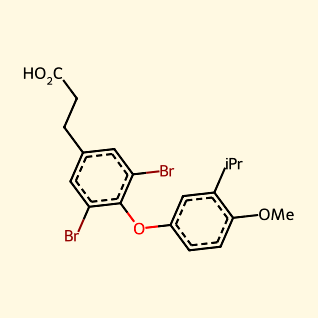 COc1ccc(Oc2c(Br)cc(CCC(=O)O)cc2Br)cc1C(C)C